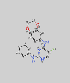 Fc1cnc(NC2=CCCC=C2)nc1Nc1ccc2c(c1)OCCO2